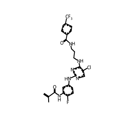 C=C(C)C(=O)Nc1cc(Nc2ncc(Cl)c(NCCCNC(=O)c3ccc(C(F)(F)F)cc3)n2)ccc1F